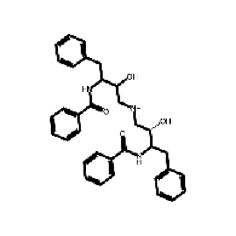 O=C(NC(Cc1ccccc1)C(O)CNC[C@H](O)C(Cc1ccccc1)NC(=O)c1ccccc1)c1ccccc1